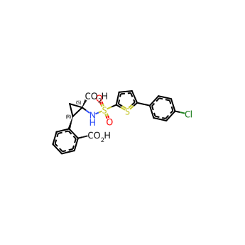 O=C(O)c1ccccc1[C@H]1C[C@@]1(NS(=O)(=O)c1ccc(-c2ccc(Cl)cc2)s1)C(=O)O